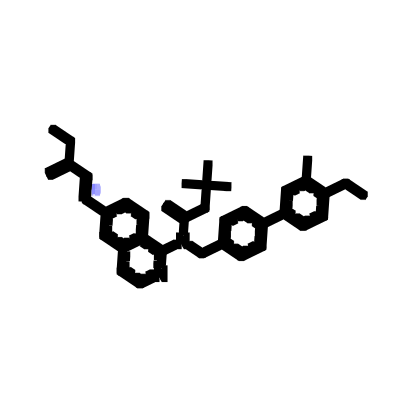 C=C(/C=C/c1ccc2c(N(Cc3ccc(-c4ccc(CC)c(C)c4)cc3)C(=C)CC(C)(C)C)nccc2c1)CC